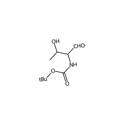 CC(O)C([C]=O)NC(=O)OC(C)(C)C